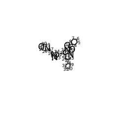 O=S(=O)(c1ccccc1)n1cc(-c2cnn(CCN3CCOCC3)c2)c2cc(C3CCCC3)cnc21